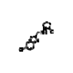 O=C1CCCN1NCc1cn2cc(Cl)ccc2n1